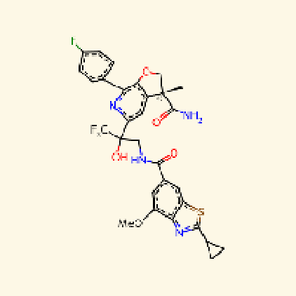 COc1cc(C(=O)NCC(O)(c2cc3c(c(-c4ccc(F)cc4)n2)OC[C@]3(C)C(N)=O)C(F)(F)F)cc2sc(C3CC3)nc12